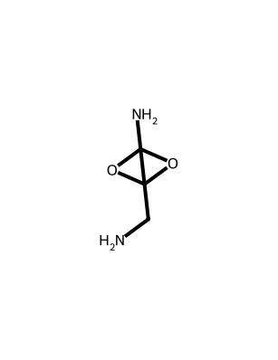 NCC12OC1(N)O2